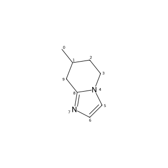 CC1CCn2ccnc2C1